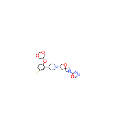 Fc1ccc(OC2COCOC2)c(C2CCN([C@@H]3COC4(C3)CN(c3nnco3)C4)CC2)c1